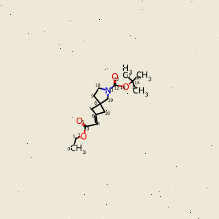 CCOC(=O)C=C1CC2(CCN(C(=O)OC(C)(C)C)C2)C1